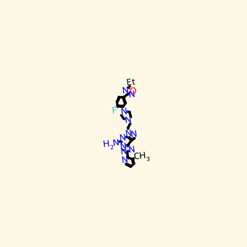 CCc1nc(-c2ccc(F)c(N3CCN(CCn4ncc5c4nc(N)n4nc(-c6ncccc6C)nc54)CC3)c2)no1